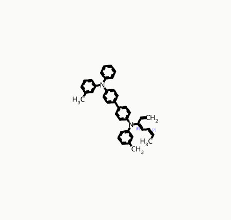 C=C/C(=C\C=C/C)N(c1ccc(-c2ccc(N(c3ccccc3)c3cccc(C)c3)cc2)cc1)c1cccc(C)c1